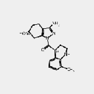 Cc1cccc2c1NCC[C@@H]2C(=O)n1nc(N)c2c1C[C@H](O)CC2